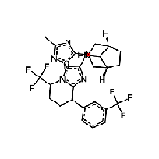 Cc1noc(N2C[C@H]3CC[C@@H](C2)C3Nc2nc3n(n2)C(C(F)(F)F)CCC3c2cccc(C(F)(F)F)c2)n1